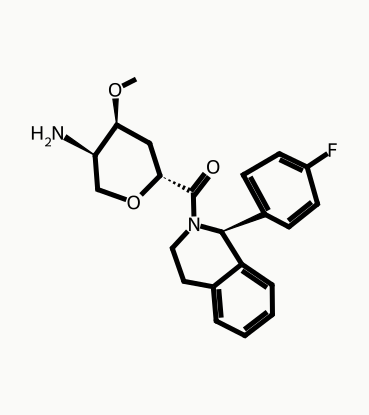 CO[C@H]1C[C@H](C(=O)N2CCc3ccccc3[C@@H]2c2ccc(F)cc2)OC[C@H]1N